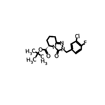 CC(C)(C)OC(=O)[C@@H]1CCCc2nn(Cc3ccc(F)c(Cl)c3)c(=O)n21